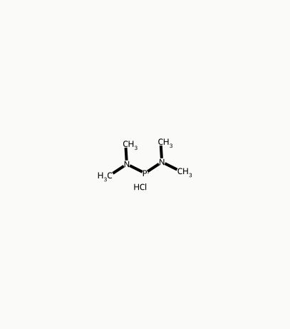 CN(C)[P]N(C)C.Cl